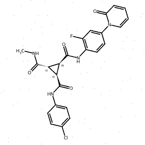 CNC(=O)[C@H]1[C@H](C(=O)Nc2ccc(Cl)cc2)[C@@H]1C(=O)Nc1ccc(-n2ccccc2=O)cc1F